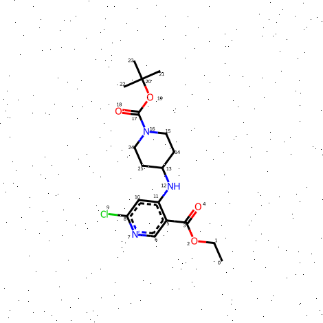 CCOC(=O)c1cnc(Cl)cc1NC1CCN(C(=O)OC(C)(C)C)CC1